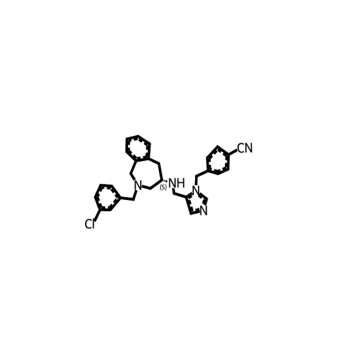 N#Cc1ccc(Cn2cncc2CN[C@H]2Cc3ccccc3CN(Cc3cccc(Cl)c3)C2)cc1